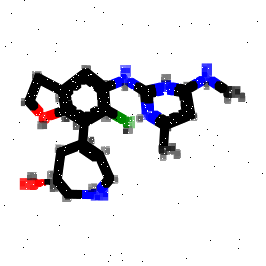 CNc1cc(C)nc(Nc2cc3c(c(C4=CCNC[C@H](O)C4)c2Cl)OCC3)n1